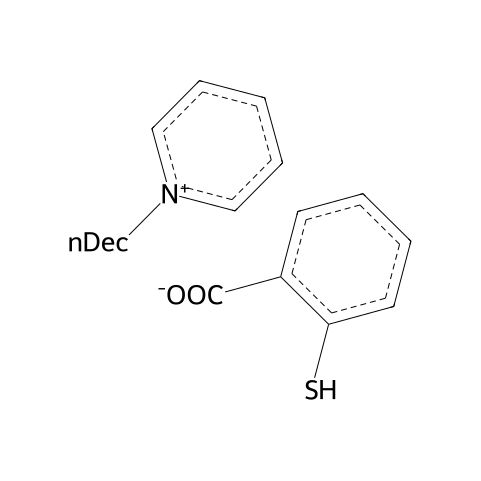 CCCCCCCCCC[n+]1ccccc1.O=C([O-])c1ccccc1S